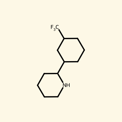 FC(F)(F)C1CCCC(C2CCCCN2)C1